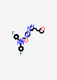 O=C(Cn1nc(-c2ccc(F)cc2)nc1-c1ccc(F)cc1)N1CCN(c2cc(CCC3CCCOC3)ncn2)CC1